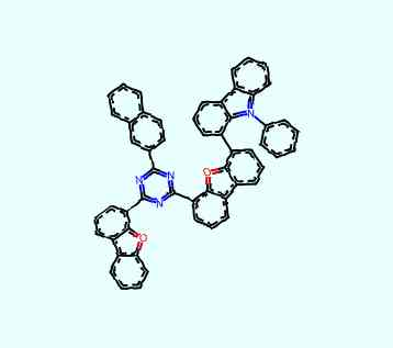 c1ccc(-n2c3ccccc3c3cccc(-c4cccc5c4oc4c(-c6nc(-c7ccc8ccccc8c7)nc(-c7cccc8c7oc7ccccc78)n6)cccc45)c32)cc1